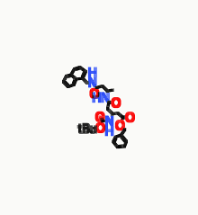 CC(CC(=O)NCc1cccc2ccccc12)NC(=O)CC(CC(=O)OCc1ccccc1)NC(=O)OC(C)(C)C